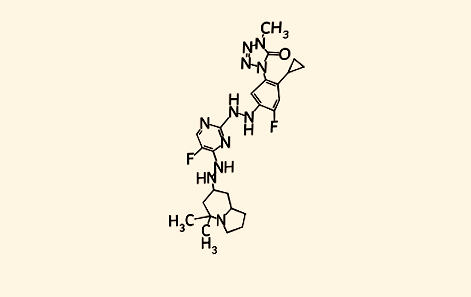 Cn1nnn(-c2cc(NNc3ncc(F)c(NNC4CC5CCCN5C(C)(C)C4)n3)c(F)cc2C2CC2)c1=O